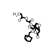 C=CC(=O)OCC(=O)OC1C2OC(=O)C3C2OC1C3C(=O)OCC12CCC(CC1)O2